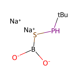 CC(C)(C)PSB([O-])[O-].[Na+].[Na+]